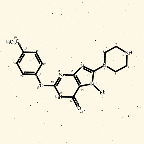 CCn1c(N2CCNCC2)nc2nc(Oc3ccc(C(=O)O)cc3)[nH]c(=O)c21